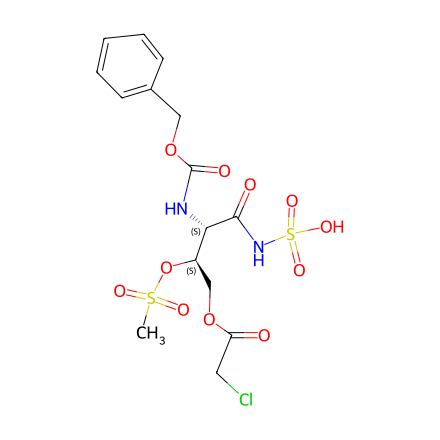 CS(=O)(=O)O[C@H](COC(=O)CCl)[C@H](NC(=O)OCc1ccccc1)C(=O)NS(=O)(=O)O